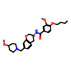 CCCCOc1ccc(C(=O)N[C@H]2COc3cc(CN4CCC(OC)CC4)ccc3C2)cc1OC